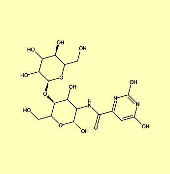 O=C(NC1C(O)[C@H](O[C@@H]2OC(CO)[C@H](O)C(O)C2O)C(CO)O[C@H]1O)c1cc(O)nc(O)n1